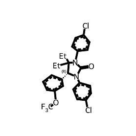 CCC1(CC)[C@@H](c2cccc(OC(F)(F)F)c2)N(c2ccc(Cl)cc2)C(=O)N1c1ccc(Cl)cc1